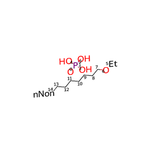 O=P(O)(O)O.[CH2]COCCCCCCCCCCCCCCCC